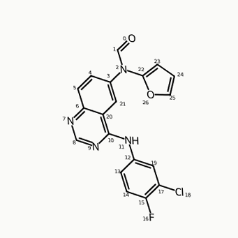 O=CN(c1ccc2ncnc(Nc3ccc(F)c(Cl)c3)c2c1)c1ccco1